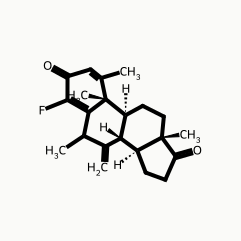 C=C1C(C)C2=C(F)C(=O)C=C(C)[C@]2(C)[C@H]2CC[C@]3(C)C(=O)CC[C@H]3[C@H]12